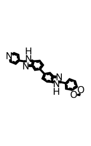 c1cc(-c2nc3cc(-c4ccc5[nH]c(-c6ccc7c(c6)OCO7)nc5c4)ccc3[nH]2)ccn1